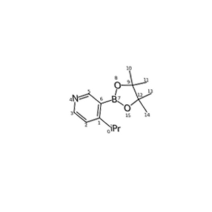 CC(C)c1ccncc1B1OC(C)(C)C(C)(C)O1